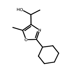 Cc1oc(C2CCCCC2)nc1C(C)O